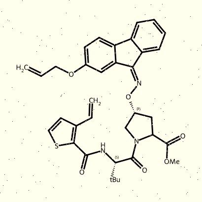 C=CCOc1ccc2c(c1)C(=NO[C@@H]1CC(C(=O)OC)N(C(=O)[C@@H](NC(=O)c3sccc3C=C)C(C)(C)C)C1)c1ccccc1-2